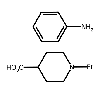 CCN1CCC(C(=O)O)CC1.Nc1ccccc1